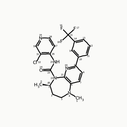 C[C@@H]1CCN(C)c2ccc(-c3cccc(C(F)(F)F)c3)nc2N1C(=O)Nc1ccncc1Cl